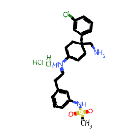 CS(=O)(=O)Nc1cccc(CCNC2CCC(CN)(c3cccc(Cl)c3)CC2)c1.Cl.Cl